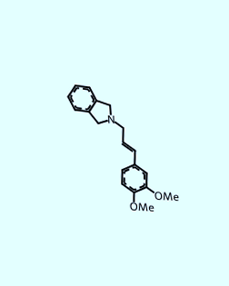 COc1ccc(/C=C/CN2Cc3ccccc3C2)cc1OC